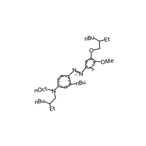 CCCCCCCCN(CC(CC)CCCC)c1ccc(/N=N/c2cc(OCC(CC)CCCC)c(OC)s2)c(CCCC)c1